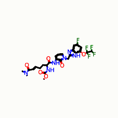 COC(=O)NC(CCC=CC(=O)N(C)C)C(=O)Nc1cccn(Cc2nc3cc(F)cc(OC(F)(F)C(F)F)c3[nH]2)c1=O